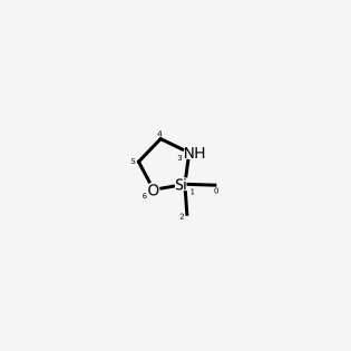 C[Si]1(C)NCCO1